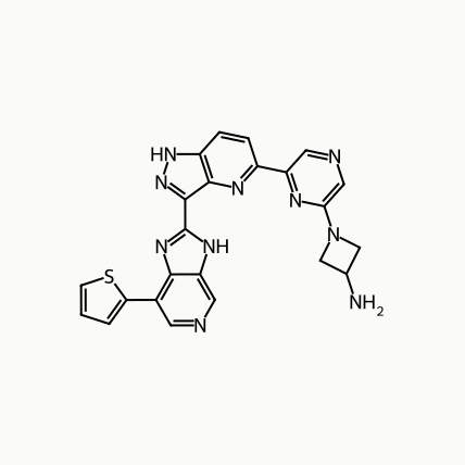 NC1CN(c2cncc(-c3ccc4[nH]nc(-c5nc6c(-c7cccs7)cncc6[nH]5)c4n3)n2)C1